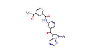 CC(C)n1cc(C(=O)c2cncc(NC(=O)c3cccc(C(=O)C(F)(F)F)c3)c2)c2cncnc21